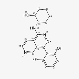 Oc1cccc(F)c1-c1nnc(N[C@H]2CCCC[C@@H]2O)c2ccncc12